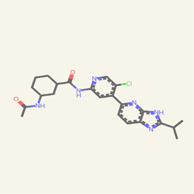 CC(=O)NC1CCCC(C(=O)Nc2cc(-c3ccc4nc(C(C)C)[nH]c4n3)c(Cl)cn2)C1